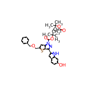 CC(C)(C)OC(=O)n1nc(-c2cc3ccc(O)cc3[nH]2)c2sc(COCc3ccccc3)cc21.CC(C)(C)OC=O